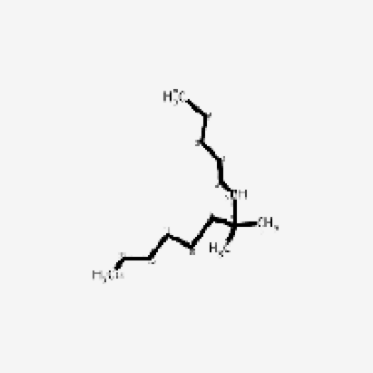 CCCCCBC(C)(C)CCCCCC